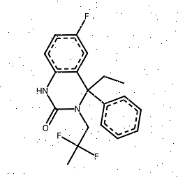 CCC1(c2ccccc2)c2cc(F)ccc2NC(=O)N1CC(C)(F)F